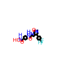 Cn1cc(-c2ccc(C(F)(F)F)cc2)c2cc(C(=O)Nc3ccc(C(=O)NO)cc3)[nH]c2c1=O